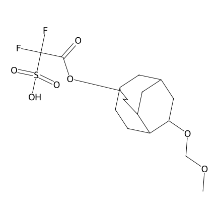 COCOC1CC2CC3CCC1C(CCC3OC(=O)C(F)(F)S(=O)(=O)O)C2